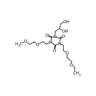 CCOCCOCCn1c(=O)n(CCOCCOC)c(=O)n(CC(O)CO)c1=O